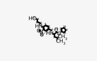 CC(C)CC(NCc1ccc(NCCCO)c([N+](=O)[O-])c1)C(=O)OC1CCCC1